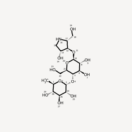 C[C@H]1O[C@H](O[C@H]2[C@H](O)[C@@H](O)[C@H](O[C@H]3[C@H](O)CN[C@@H]3CO)O[C@@H]2CO)[C@H](O)[C@@H](O)[C@@H]1O